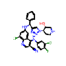 N#Cc1cnc2c(Cl)cc(N[C@@H](c3ccccc3)c3cn([C@@H]4CCNC[C@H]4O)nn3)cc2c1Nc1ccc(F)c(Cl)c1